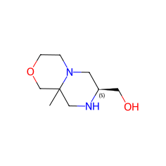 CC12CN[C@H](CO)CN1CCOC2